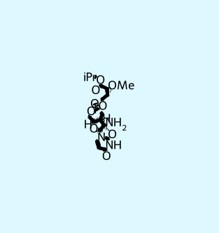 CO[C@H](CCOP1(=O)C[C@@H]2[C@@H](CO1)O[C@@H](n1ccc(=O)[nH]c1=O)[C@]2(C)N)C(=O)OC(C)C